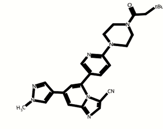 Cn1cc(-c2cc(-c3ccc(N4CCN(C(=O)CC(C)(C)C)CC4)nc3)n3c(C#N)cnc3c2)cn1